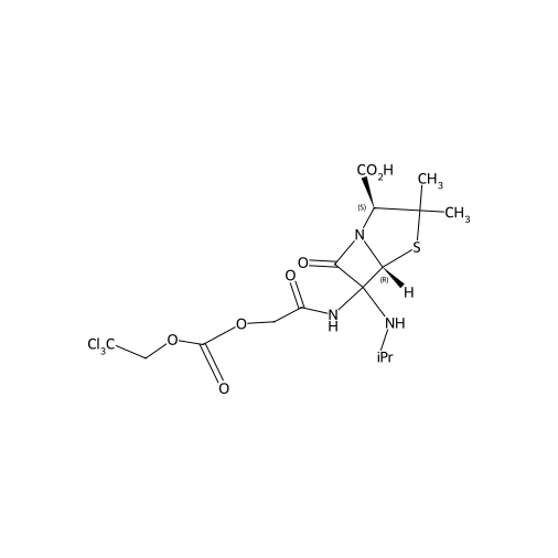 CC(C)NC1(NC(=O)COC(=O)OCC(Cl)(Cl)Cl)C(=O)N2[C@@H](C(=O)O)C(C)(C)S[C@@H]21